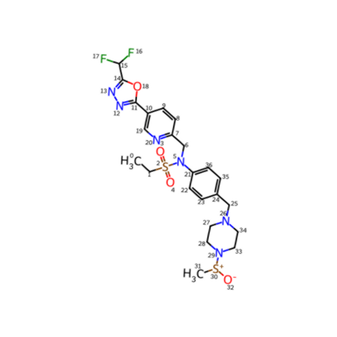 CCS(=O)(=O)N(Cc1ccc(-c2nnc(C(F)F)o2)cn1)c1ccc(CN2CCN([S+](C)[O-])CC2)cc1